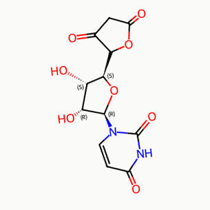 O=C1CC(=O)C([C@H]2O[C@@H](n3ccc(=O)[nH]c3=O)[C@H](O)[C@@H]2O)O1